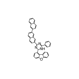 c1ccc(C2=NC(c3ccc4ccc(-c5ccc6ccccc6c5)cc4c3)=NC(c3cccc4oc5ccccc5c34)N2)cc1